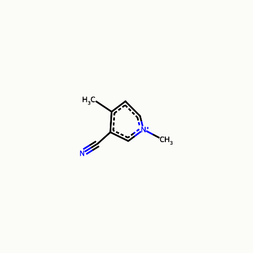 Cc1cc[n+](C)cc1C#N